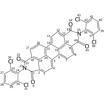 O=C1c2ccc3c4ccc5c6c(ccc(c7ccc(c2c37)C(=O)N1c1c(Cl)cccc1Cl)c64)C(=O)N(c1c(Cl)cccc1Cl)C5=O